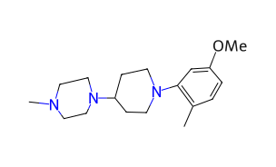 COc1ccc(C)c(N2CCC(N3CCN(C)CC3)CC2)c1